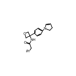 CC(C)CC(=O)NC1(c2ccc(N3C=CCC3)cc2)COC1